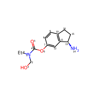 CCN(CO)C(=O)Oc1ccc2c(c1)[C@H](N)CC2